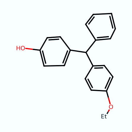 CCOc1ccc(C(c2ccccc2)c2ccc(O)cc2)cc1